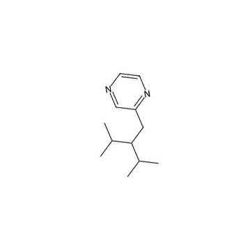 CC(C)C(Cc1cnccn1)C(C)C